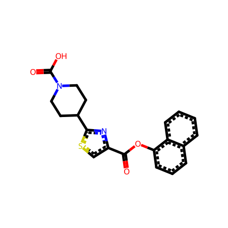 O=C(Oc1cccc2ccccc12)c1csc(C2CCN(C(=O)O)CC2)n1